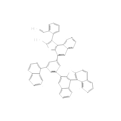 C=Cc1ccccc1-c1c(C)oc2c(-c3cc(-c4cccc5ccccc45)cc(-c4cc5ccccc5c5c4oc4ccc6ccccc6c45)c3)cc3ccccc3c12